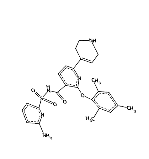 Cc1cc(C)c(Oc2nc(C3=CCNCC3)ccc2C(=O)NS(=O)(=O)c2cccc(N)n2)c(C)c1